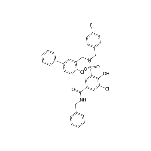 O=C(NCc1ccccc1)c1cc(Cl)c(O)c(S(=O)(=O)N(Cc2ccc(F)cc2)Cc2cc(-c3ccccc3)ccc2Cl)c1